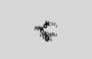 Cn1ncc2cc(C3NNC4=C3CN(C(=O)NC3CC[C@H]5CC[C@@H]3N5C(=O)OC(C)(C)C)CC4)ccc21